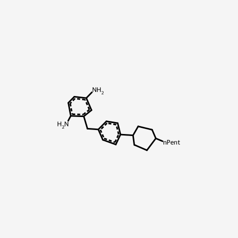 CCCCCC1CCC(c2ccc(Cc3cc(N)ccc3N)cc2)CC1